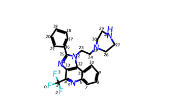 FC(F)(F)c1nc2ccccc2c2c1nc(-c1ccccc1)n2CCN1CCNCC1